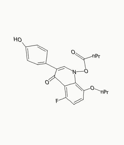 CCCOc1ccc(F)c2c(=O)c(-c3ccc(O)cc3)cn(OC(=O)CCC)c12